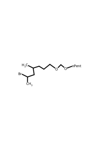 CCCCCOCOCCCC(C)CC(C)Br